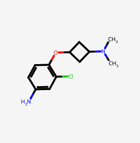 CN(C)C1CC(Oc2ccc(N)cc2Cl)C1